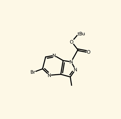 Cc1nn(C(=O)OC(C)(C)C)c2ncc(Br)nc12